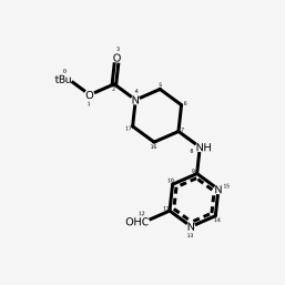 CC(C)(C)OC(=O)N1CCC(Nc2cc(C=O)ncn2)CC1